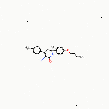 Cc1ccc(C2=C(N)C(=O)NC(c3ccc(OCCCC(F)(F)F)cc3)(C(F)(F)F)C2)cc1